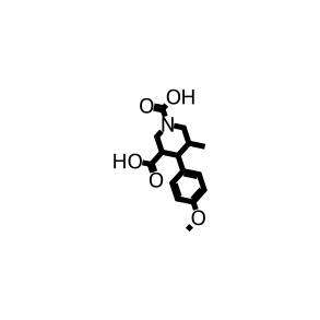 COc1ccc(C2C(C)CN(C(=O)O)CC2C(=O)O)cc1